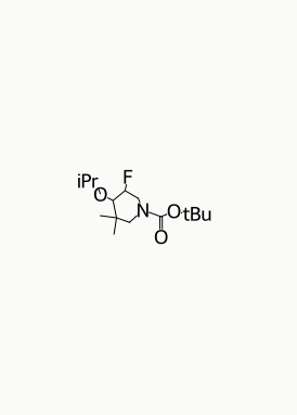 CC(C)OC1C(F)CN(C(=O)OC(C)(C)C)CC1(C)C